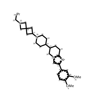 COc1ccc(-c2cn3c(n2)CCC(C2CCN(C4CC5(C4)CN(CC(C)C)C5)CC2)C3)cc1OC